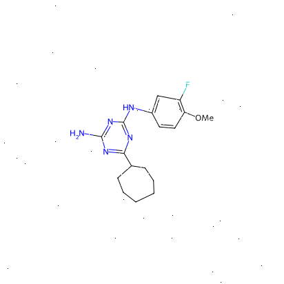 COc1ccc(Nc2nc(N)nc(C3CCCCCC3)n2)cc1F